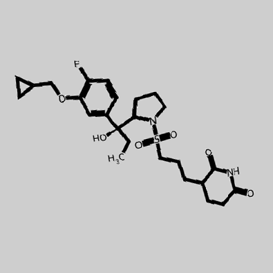 CC[C@](O)(c1ccc(F)c(OCC2CC2)c1)C1CCCN1S(=O)(=O)CCCC1CCC(=O)NC1=O